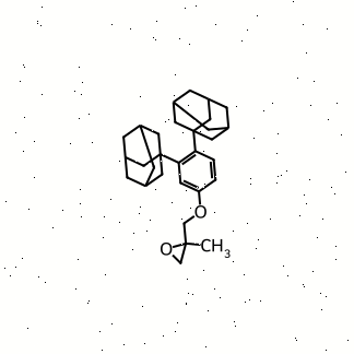 CC1(COc2ccc(C34CC5CC(CC(C5)C3)C4)c(C34CC5CC(CC(C5)C3)C4)c2)CO1